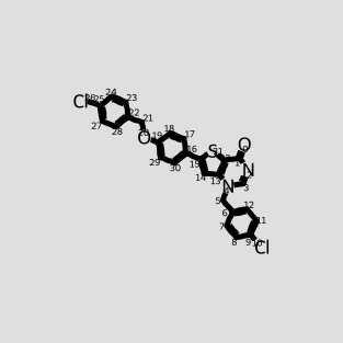 O=c1ncn(Cc2ccc(Cl)cc2)c2cc(-c3ccc(OCc4ccc(Cl)cc4)cc3)sc12